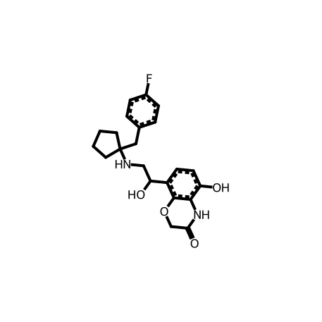 O=C1COc2c(C(O)CNC3(Cc4ccc(F)cc4)CCCC3)ccc(O)c2N1